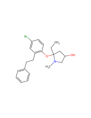 CCC1(Oc2ccc(Br)cc2CCc2ccccc2)CC(O)CN1C